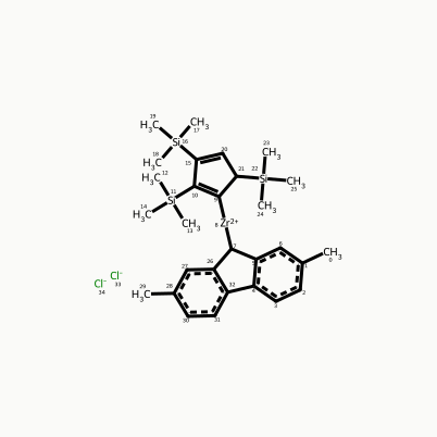 Cc1ccc2c(c1)[CH]([Zr+2][C]1=C([Si](C)(C)C)C([Si](C)(C)C)=CC1[Si](C)(C)C)c1cc(C)ccc1-2.[Cl-].[Cl-]